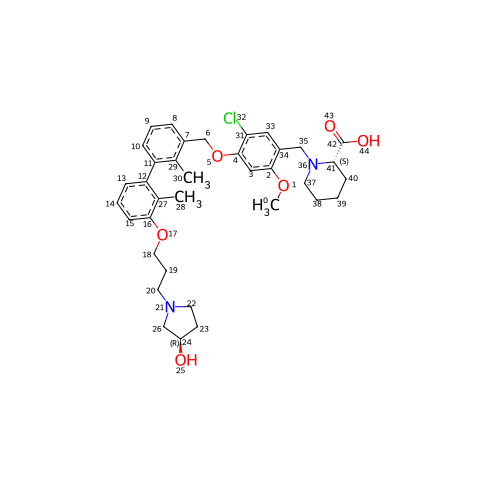 COc1cc(OCc2cccc(-c3cccc(OCCCN4CC[C@@H](O)C4)c3C)c2C)c(Cl)cc1CN1CCCC[C@H]1C(=O)O